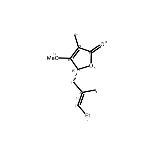 CC/C=C(\C)C[C@H]1OC(=O)C(C)=C1OC